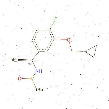 CC(C)[C@H](N[S+]([O-])C(C)(C)C)c1ccc(F)c(OCC2CC2)c1